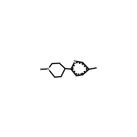 Cc1ccc(C2CCN(I)CC2)nc1